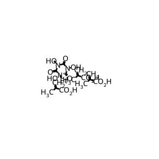 C=C(C)C(=O)O.C=C(C)C(=O)O.C=C(C)C(=O)O.CC[N+]1(O)C(=O)N(O)C(=O)N(O)C1=O